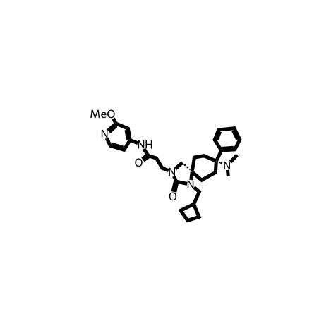 COc1cc(NC(=O)CCN2C[C@]3(CC[C@@](c4ccccc4)(N(C)C)CC3)N(CC3CCC3)C2=O)ccn1